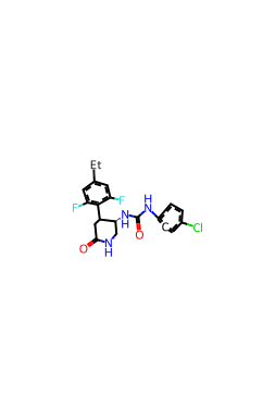 CCc1cc(F)c(C2CC(=O)NC[C@H]2NC(=O)Nc2ccc(Cl)cc2)c(F)c1